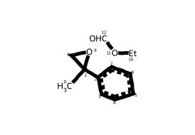 CC1(c2ccccc2)CO1.CCOC=O